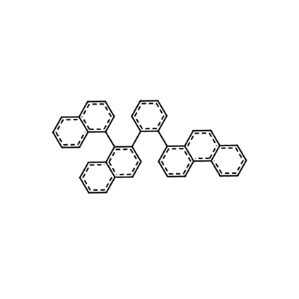 c1ccc(-c2cccc3c2ccc2ccccc23)c(-c2ccc3ccccc3c2-c2cccc3ccccc23)c1